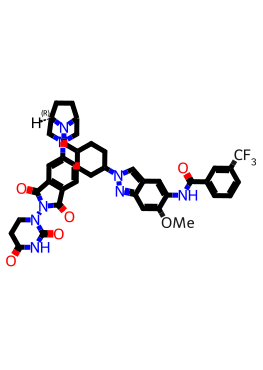 COc1cc2nn(C3CCC(CN4C5CC[C@@H]4CN(c4ccc6c(c4)C(=O)N(N4CCC(=O)NC4=O)C6=O)C5)CC3)cc2cc1NC(=O)c1cccc(C(F)(F)F)c1